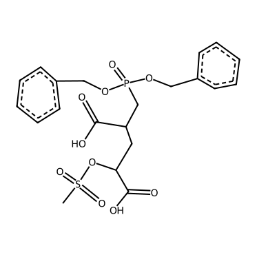 CS(=O)(=O)OC(CC(CP(=O)(OCc1ccccc1)OCc1ccccc1)C(=O)O)C(=O)O